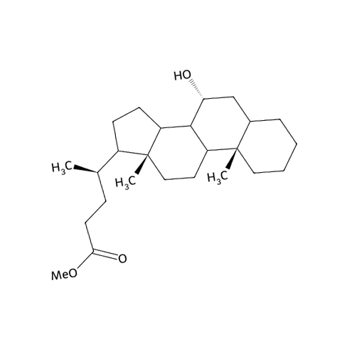 COC(=O)CC[C@@H](C)C1CCC2C3C(CC[C@@]21C)[C@@]1(C)CCCCC1C[C@H]3O